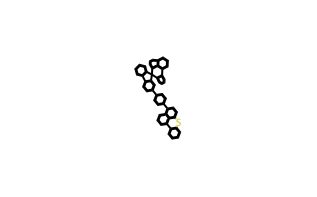 c1ccc2c(c1)Sc1ccc(-c3ccc(-c4ccc5c(c4)C4(c6ccccc6-5)c5ccccc5-c5cccc6cccc4c56)cc3)c3cccc-2c13